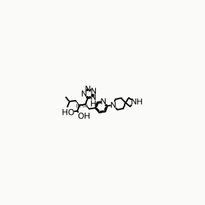 CC(C)C[C@H](C(O)O)[C@H](Cc1ccc(N2CCC3(CC2)CNC3)nc1)c1nnn[nH]1